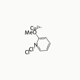 COc1ccccn1.[Cl-].[Cl-].[Cu+2]